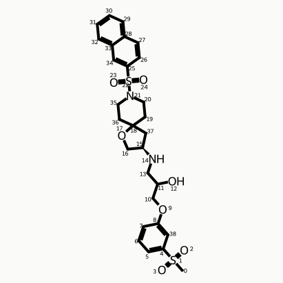 CS(=O)(=O)c1cccc(OCC(O)CN[C@H]2COC3(CCN(S(=O)(=O)c4ccc5ccccc5c4)CC3)C2)c1